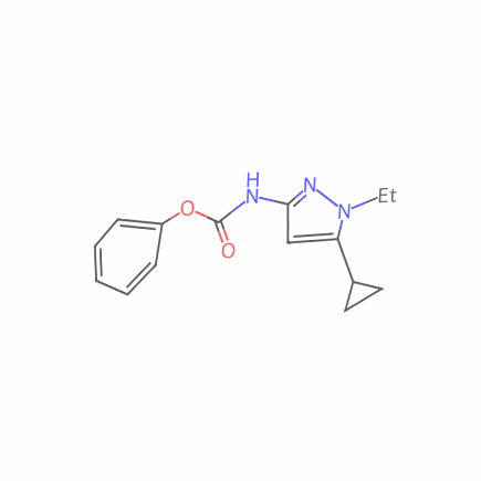 CCn1nc(NC(=O)Oc2ccccc2)cc1C1CC1